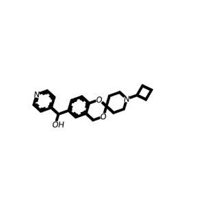 OC(c1ccncc1)c1ccc2c(c1)COC1(CCN(C3CCC3)CC1)O2